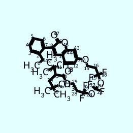 CCc1ccccc1-c1cc2ccc(OCCC(F)(F)OC(F)(F)OC(F)(F)CCOC(=O)C(CC(C)(C)C)C(C)(C)C)cc2oc1=O